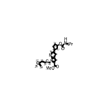 COC(=O)c1cc2cc(C3CCC(OC(=O)NC(C)C)C3)cnc2n1COCC[Si](C)(C)C